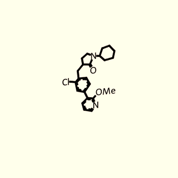 COc1ncccc1-c1ccc(CC2CCN(C3CCCCC3)C2=O)c(Cl)c1